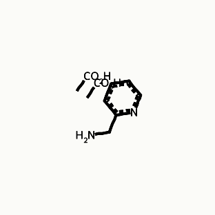 CC(=O)O.CC(=O)O.NCc1ccccn1